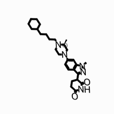 C[C@H]1CN(c2ccc3c(C4CCC(=O)NC4=O)nn(C)c3c2)CCN1CCCCC1CCCCC1